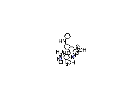 C/N=N\c1cc(O)c(/N=N\c2c(S(=O)(=O)O)cc3cc(Nc4ccccc4)ccc3c2O)cc1C